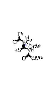 CCC(=O)/N=C(\S)NC(=O)OC.COC